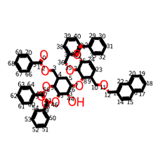 O=C(OCC1CC(OC2C(COCc3ccc4ccccc4c3)C=CC(OCc3ccccc3)C2OCc2ccccc2)C(O)C(OC(=O)c2ccccc2)C1OC(=O)c1ccccc1)c1ccccc1